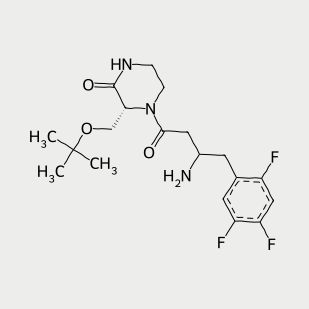 CC(C)(C)OC[C@@H]1C(=O)NCCN1C(=O)CC(N)Cc1cc(F)c(F)cc1F